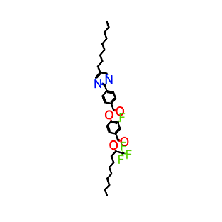 CCCCCCCCCc1cnc(-c2ccc(C(=O)Oc3ccc(C(=O)OC(CCCCCCCC)C(F)(F)F)cc3F)cc2)nc1